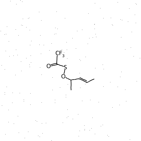 CC=CC(C)OSC(=O)C(F)(F)F